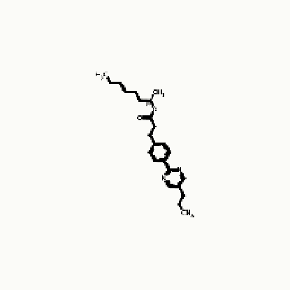 CCCCCC[C@@H](C)OC(=O)CCc1ccc(-c2ncc(CCC)cn2)cc1